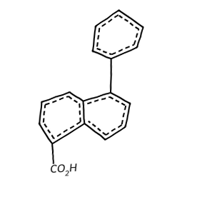 O=C(O)c1cccc2c(-c3ccccc3)cccc12